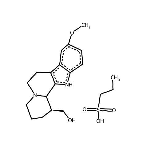 CCCS(=O)(=O)O.COc1ccc2[nH]c3c(c2c1)CCN1CCC[C@H](CO)C31